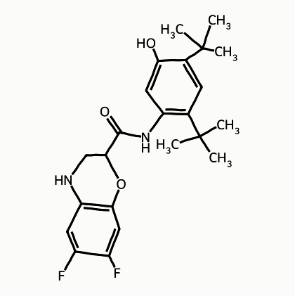 CC(C)(C)c1cc(C(C)(C)C)c(NC(=O)C2CNc3cc(F)c(F)cc3O2)cc1O